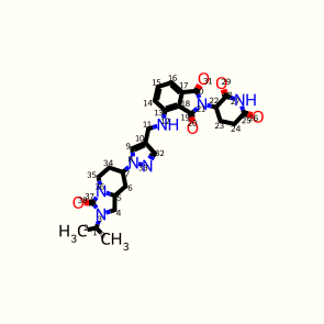 CC(C)N1CC2CC(n3cc(CNc4cccc5c4C(=O)N(C4CCC(=O)NC4=O)C5=O)cn3)CCN2C1=O